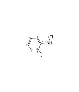 Cc1ccccc1NCl